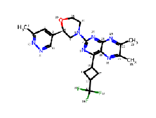 Cc1cc([C@@H]2CN(c3nc(C4CC(C(F)(F)F)C4)c4nc(C)c(C)nc4n3)CCO2)cnn1